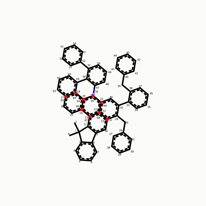 CC1(C)c2ccccc2-c2cccc(-c3ccccc3N(c3ccc(Cc4ccccc4)c(-c4ccccc4Cc4ccccc4)c3)c3cccc(-c4ccccc4)c3-c3ccccc3-c3ccccc3)c21